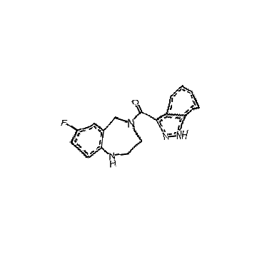 O=C(c1n[nH]c2ccccc12)N1CCNc2ccc(F)cc2C1